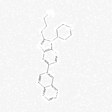 CCCCc1nc2cc(-c3ccc4ccccc4c3)cnc2n1C1CCNCC1